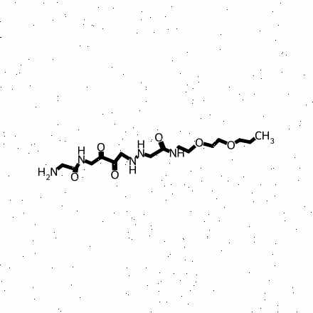 CCCOCCOCCNC(=O)CNNCC(=O)C(=O)CNC(=O)CN